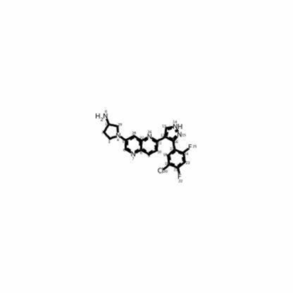 NC1CCN(c2cnc3ccc(-c4c[nH]nc4-c4cc(Cl)c(F)cc4F)nc3c2)C1